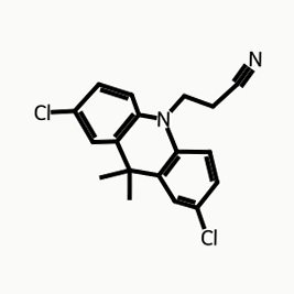 CC1(C)c2cc(Cl)ccc2N(CCC#N)c2ccc(Cl)cc21